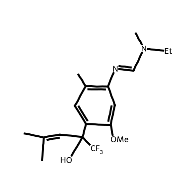 CCN(C)/C=N/c1cc(OC)c(C(O)(C=C(C)C)C(F)(F)F)cc1C